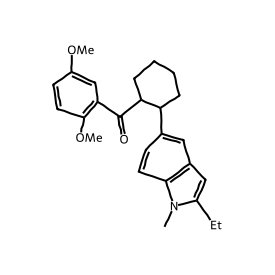 CCc1cc2cc(C3CCCCC3C(=O)c3cc(OC)ccc3OC)ccc2n1C